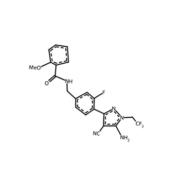 COc1ccccc1C(=O)NCc1ccc(-c2nn(CC(F)(F)F)c(N)c2C#N)c(F)c1